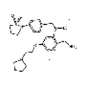 CCN(Cc1ccc(N2CCCS2(=O)=O)cc1)c1cc(OCCN2CCCC2)ccc1CN